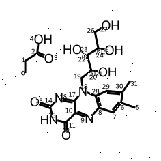 CCC(=O)O.Cc1cc2nc3c(=O)[nH]c(=O)nc-3n(C[C@H](O)[C@H](O)[C@H](O)CO)c2cc1C